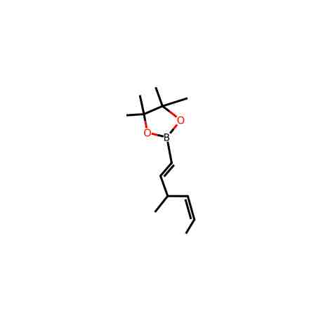 C/C=C\C(C)/C=C/B1OC(C)(C)C(C)(C)O1